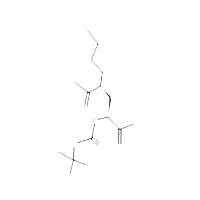 CC(C)(C)OC(=O)N[C@@H](C[C@H](CCCF)C(=O)O)C(=O)O